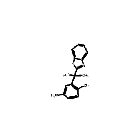 CC(C)(c1nc2ccccc2s1)c1cc(N)ccc1O